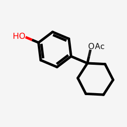 CC(=O)OC1(c2ccc(O)cc2)CCCCC1